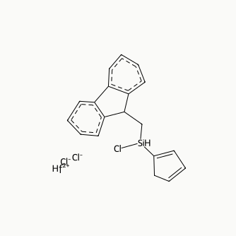 Cl[SiH](CC1c2ccccc2-c2ccccc21)C1=CC=CC1.[Cl-].[Cl-].[Hf+2]